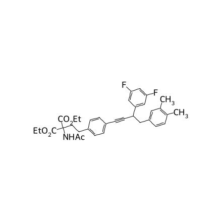 CCOC(=O)C(CCc1ccc(C#CC(Cc2ccc(C)c(C)c2)c2cc(F)cc(F)c2)cc1)(NC(C)=O)C(=O)OCC